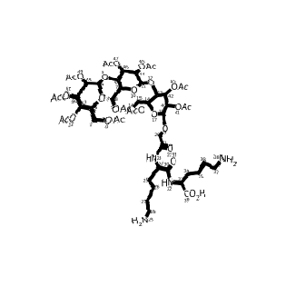 CC(=O)OCC1OC(OC2C(COC(C)=O)OC(OC3C(COC(C)=O)OC(OCC(=O)NC(CCCCN)C(=O)NC(CCCCN)C(=O)O)C(OC(C)=O)C3OC(C)=O)C(OC(C)=O)C2OC(C)=O)C(OC(C)=O)C(OC(C)=O)C1OC(C)=O